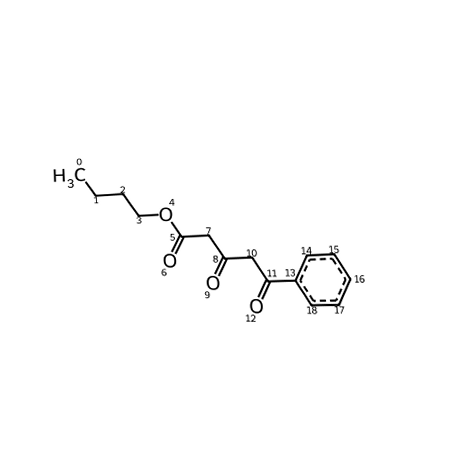 CCCCOC(=O)CC(=O)CC(=O)c1ccccc1